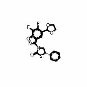 O=C1S[C@@H](c2ccccc2)CN1c1noc2c(F)c(F)c(C3OCCO3)cc12